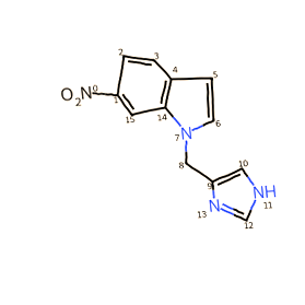 O=[N+]([O-])c1ccc2ccn(Cc3c[nH]cn3)c2c1